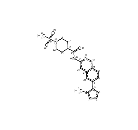 Cn1cccc1-c1ccc2cnc(NC(=O)C3CCN(S(C)(=O)=O)CC3)cc2c1